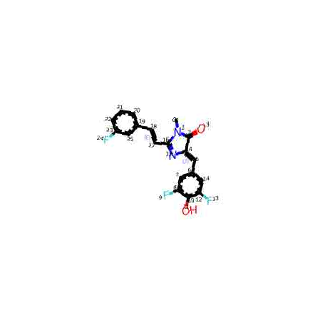 CN1C(=O)/C(=C/c2cc(F)c(O)c(F)c2)N=C1/C=C/c1cccc(F)c1